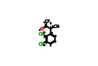 N#CC(C(=O)C(F)(F)F)c1cccc(Cl)c1Cl